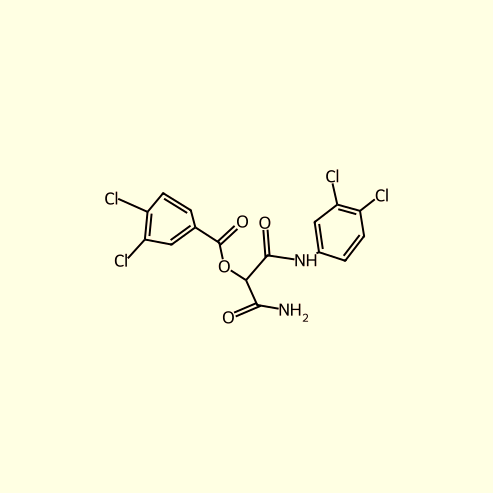 NC(=O)C(OC(=O)c1ccc(Cl)c(Cl)c1)C(=O)Nc1ccc(Cl)c(Cl)c1